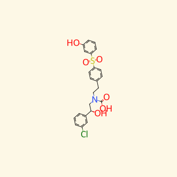 O=C(O)N(CCc1ccc(S(=O)(=O)c2cccc(O)c2)cc1)C[C@@H](O)c1cccc(Cl)c1